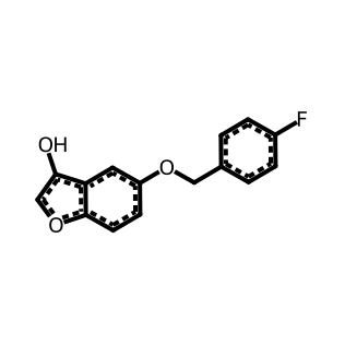 Oc1coc2ccc(OCc3ccc(F)cc3)cc12